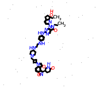 C=CCn1c(=O)c2cnc(Nc3ccc(NCCNC4CCN(CC5CC(n6ccc7c8c(C9CCC(=O)NC9=O)noc8ccc76)C5)CC4)cc3)nc2n1-c1ccc2c(n1)[C@@](O)(CC)CC2